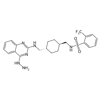 NNc1nc(NC[C@H]2CC[C@H](CNS(=O)(=O)c3ccccc3C(F)(F)F)CC2)nc2ccccc12